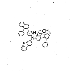 CC1(C)c2cc(N(c3ccc(-c4ccc5ccccc5c4-c4ccccc4)cc3)c3ccc4c(c3)sc3ccccc34)ccc2-c2c(-c3ccccc3)cccc21